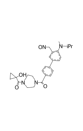 CC(C)N(C)c1ccc(-c2ccc(C(=O)N3CCN(C(=O)C4(O)CC4)CC3)cc2)cc1CN=O